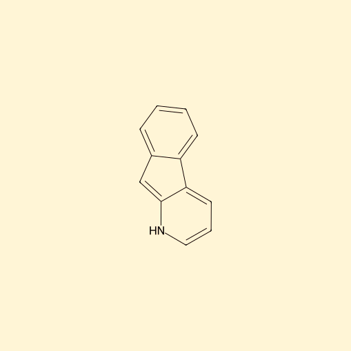 c1c[nH]c2cc3ccccc3c-2c1